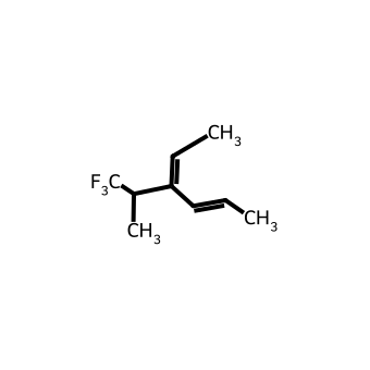 CC=CC(=CC)C(C)C(F)(F)F